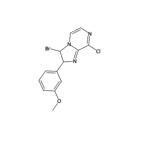 COc1cccc(C2N=C3C(Cl)=NC=CN3C2Br)c1